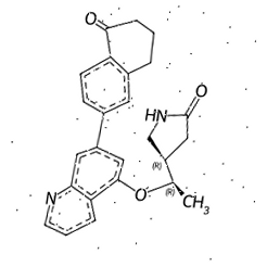 C[C@@H](Oc1cc(-c2ccc3c(c2)CCCC3=O)cc2ncccc12)[C@H]1CNC(=O)C1